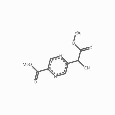 COC(=O)c1cnc(C(C#N)C(=O)OC(C)(C)C)cn1